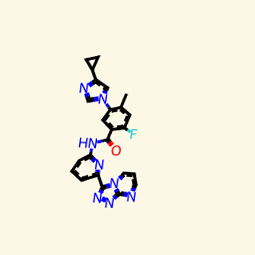 Cc1cc(F)c(C(=O)Nc2cccc(-c3nnc4ncccn34)n2)cc1-n1cnc(C2CC2)c1